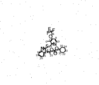 Cc1c(OCC(F)(F)F)ccnc1CSc1nc2ccccc2n1C(C)OC(=O)OC1CCCCC1